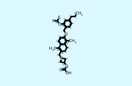 CCCc1ccc(COc2ccc3c(c2C)CCC(CN2CC(OC(=O)O)C2)=C3C)c(OC(F)F)c1